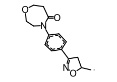 [CH2]C1CC(c2ccc(N3CCOCCC3=O)cc2)=NO1